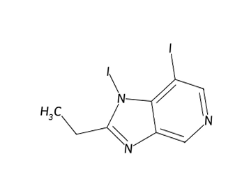 CCc1nc2cncc(I)c2n1I